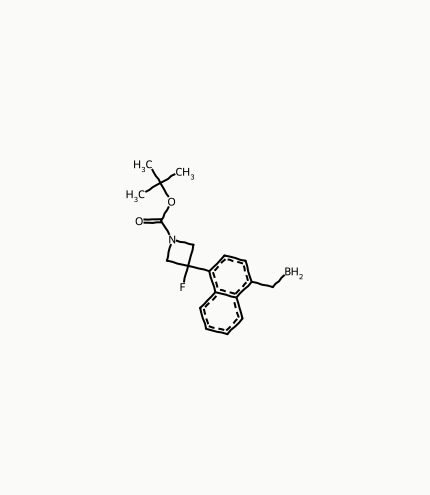 BCc1ccc(C2(F)CN(C(=O)OC(C)(C)C)C2)c2ccccc12